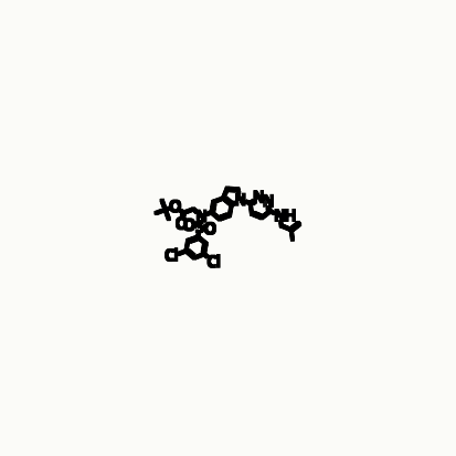 C=C(C)CNc1ccc(-n2ccc3cc(N(CC(=O)OC(C)(C)C)S(=O)(=O)c4cc(Cl)cc(Cl)c4)ccc32)nn1